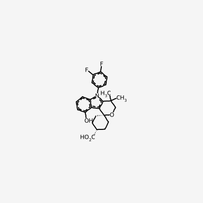 CC1(C)CO[C@]2(CC[C@@H](C(=O)O)CC2)c2c1n(-c1ccc(F)c(F)c1)c1cccc(O)c12